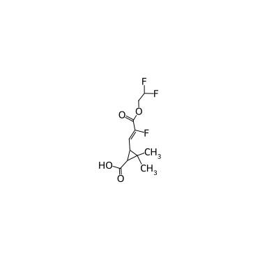 CC1(C)C(/C=C(\F)C(=O)OCC(F)F)C1C(=O)O